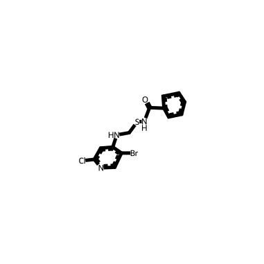 O=C(NSCNc1cc(Cl)ncc1Br)c1ccccc1